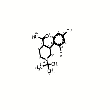 CC(C)(C)N1CCC(C(=O)O)C(c2ccc(F)cc2F)C1